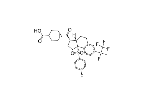 CC(F)(c1ccc2c(c1)CC[C@H]1[C@H](C(=O)N3CCC(C(=O)O)CC3)CC[C@@]21S(=O)(=O)c1ccc(F)cc1)C(F)(F)F